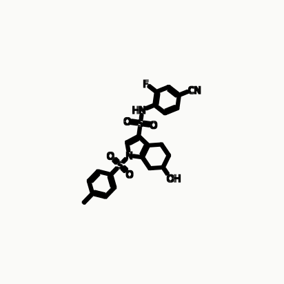 Cc1ccc(S(=O)(=O)n2cc(S(=O)(=O)Nc3ccc(C#N)cc3F)c3c2CC(O)CC3)cc1